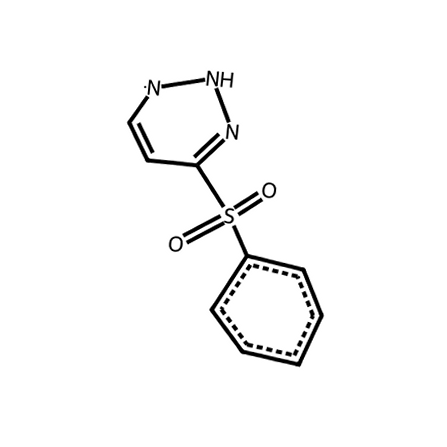 O=S(=O)(C1=NN[N]C=C1)c1ccccc1